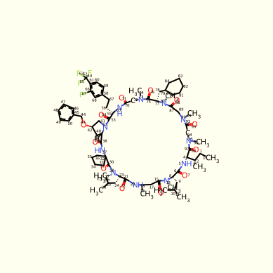 CC[C@H](C)[C@@H]1NC(=O)[C@H](CC(C)C)N(C)C(=O)C[C@@H](C)NC(=O)[C@H](CC(C)C)N(C)C(=O)C2(CCCC2)NC(=O)[C@@H]2C[C@@H](OCc3ccccc3)CN2C(=O)[C@H](CCc2ccc(C(F)(F)F)c(F)c2)NC(=O)CN(C)C(=O)[C@H](CC2CCCCC2)N(C)C(=O)CN(C)C(=O)CN(C)C1=O